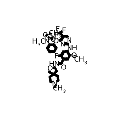 COc1cc(C(=O)NC2CC3(CCN(C)CC3)CO2)c(F)cc1Nc1ncc(C(F)(F)F)c(Oc2ccccc2N(C)S(C)(=O)=O)n1